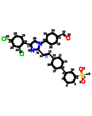 CS(=O)(=O)c1cccc(-c2ccc(/C=C/c3nc(-c4ccc(Cl)cc4Cl)cn3-c3ccc(C=O)cc3)cc2)c1